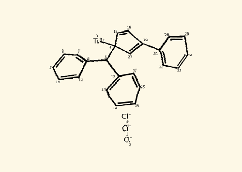 [Cl-].[Cl-].[Cl-].[Ti+3][C]1(C(c2ccccc2)c2ccccc2)C=CC(c2ccccc2)=C1